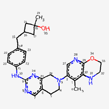 Cc1c(N2CCc3cnc(Nc4ccc(CC5CC(C)(O)C5)cc4)nc3C2)cnc2c1NCCO2